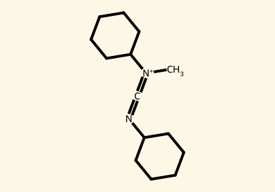 C[N+](=C=NC1CCCCC1)C1CCCCC1